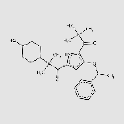 CC(Oc1cc(C(=O)[N+](C)(C)C2CCC(O)CC2)[nH]c1C(=O)[N+](C)(C)C)c1ccccc1